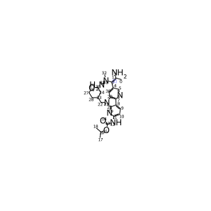 C/C(N)=C(\c1cnc2c3ccc(NC(=O)OC(C)C)nc3n(CC3CCOCC3)c2c1)N(C)N